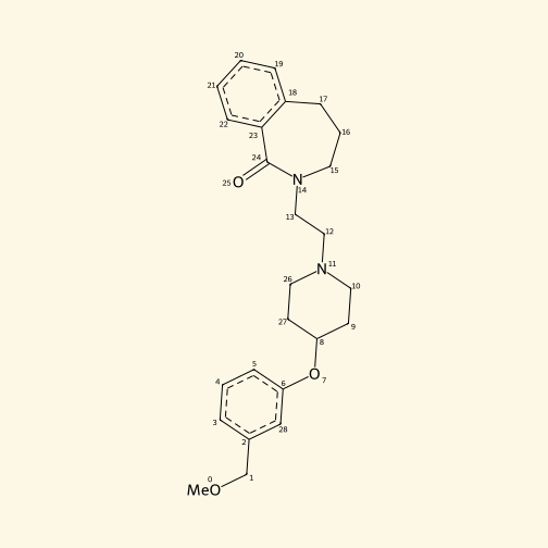 COCc1cccc(OC2CCN(CCN3CCCc4ccccc4C3=O)CC2)c1